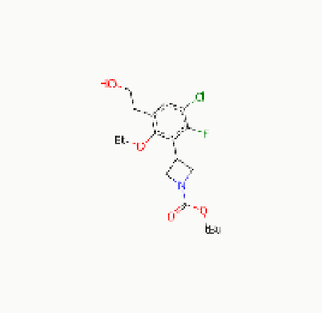 CCOc1c(CCO)cc(Cl)c(F)c1C1CN(C(=O)OC(C)(C)C)C1